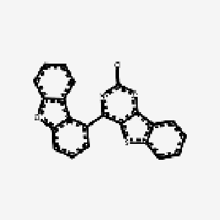 Clc1nc(-c2cccc3oc4ccccc4c23)c2sc3ccccc3c2n1